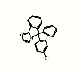 Brc1ccc(C2(c3ccccc3)c3ccccc3-c3nccn32)cc1